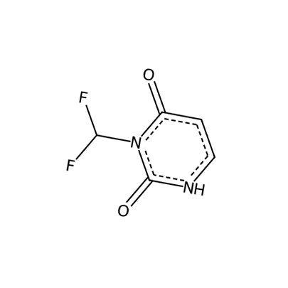 O=c1cc[nH]c(=O)n1C(F)F